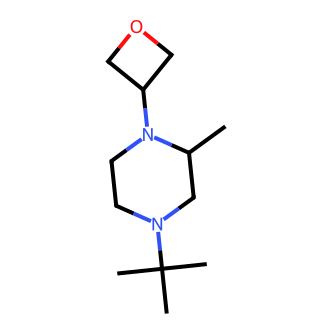 CC1CN(C(C)(C)C)CCN1C1COC1